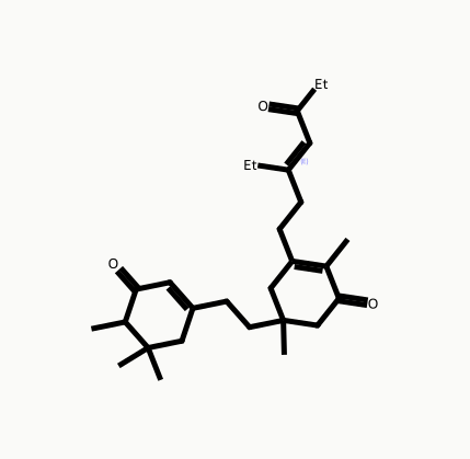 CCC(=O)/C=C(\CC)CCC1=C(C)C(=O)CC(C)(CCC2=CC(=O)C(C)C(C)(C)C2)C1